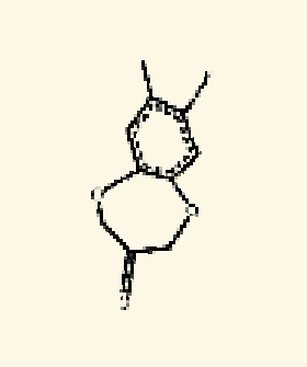 Cc1cc2c(cc1F)OCC(=O)CO2